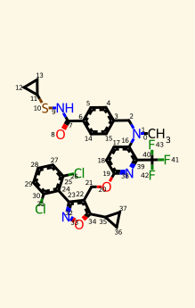 CN(Cc1ccc(C(=O)NSC2CC2)cc1)c1ccc(OCc2c(-c3c(Cl)cccc3Cl)noc2C2CC2)nc1C(F)(F)F